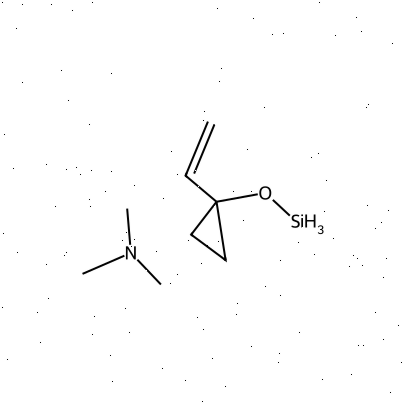 C=CC1(O[SiH3])CC1.CN(C)C